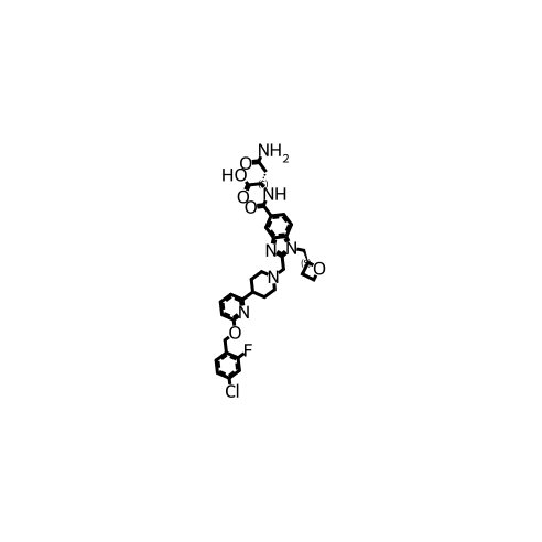 NC(=O)C[C@H](NC(=O)c1ccc2c(c1)nc(CN1CCC(c3cccc(OCc4ccc(Cl)cc4F)n3)CC1)n2C[C@@H]1CCO1)C(=O)O